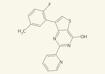 Cc1ccc(F)c(-c2csc3c(O)nc(-c4ccccn4)nc23)c1